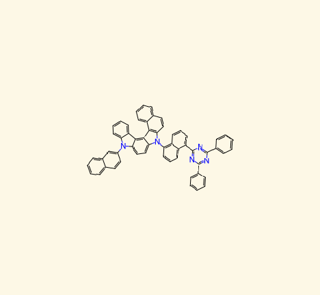 c1ccc(-c2nc(-c3ccccc3)nc(-c3cccc4c(-n5c6ccc7ccccc7c6c6c7c8ccccc8n(-c8ccc9ccccc9c8)c7ccc65)cccc34)n2)cc1